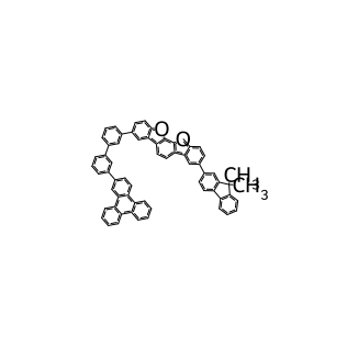 CC1(C)c2ccccc2-c2ccc(-c3ccc4oc5c(ccc6c7cc(-c8cccc(-c9cccc(-c%10ccc%11c%12ccccc%12c%12ccccc%12c%11c%10)c9)c8)ccc7oc65)c4c3)cc21